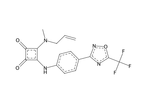 C=CCN(C)c1c(Nc2ccc(-c3noc(C(F)(F)F)n3)cc2)c(=O)c1=O